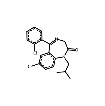 CC(C)CN1C(=O)CN=C(c2ccccc2Cl)c2cc(Cl)ccc21